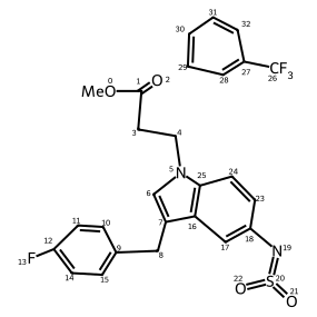 COC(=O)CCn1cc(Cc2ccc(F)cc2)c2cc(N=S(=O)=O)ccc21.FC(F)(F)c1ccccc1